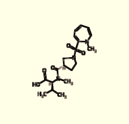 CC(C)[C@@H](C(=O)O)N(C)C(=O)[C@H]1CCN(S(=O)(=O)C2=CC=CC=CN2C)C1